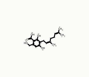 CC(C)=CCC/C(C)=C\Cc1c(O)cc(CO)c(C(=O)O)c1O